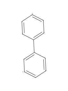 [c]1ccc(-c2c[c]ccc2)cc1